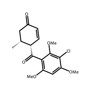 COc1cc(OC)c(C(=O)[C@H]2C=CC(=O)C[C@H]2C)c(OC)c1Cl